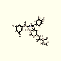 O=C(/N=C(/Nc1cc(F)cc(Cl)c1)NC1CCC(NC(=O)C2CSCN2)CC1)c1ccc(F)c(F)c1